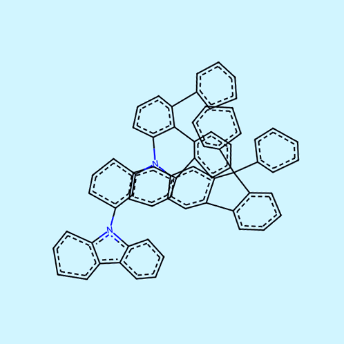 c1ccc(-c2ccccc2-c2c(-c3ccccc3)cccc2N(c2cccc(-n3c4ccccc4c4ccccc43)c2)c2ccc3c(c2)C(c2ccccc2)(c2ccccc2)c2ccccc2-3)cc1